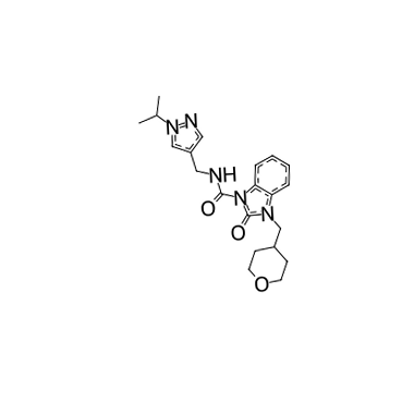 CC(C)n1cc(CNC(=O)n2c(=O)n(CC3CCOCC3)c3ccccc32)cn1